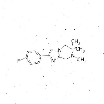 CN1Cc2nc(-c3ccc(F)cc3)cn2CC1(C)C